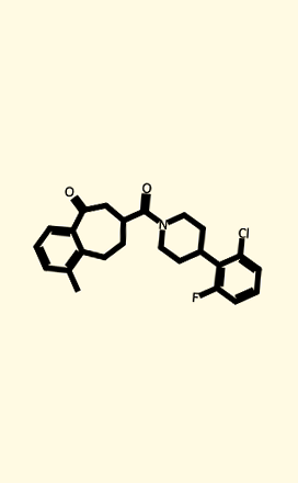 Cc1cccc2c1CCC(C(=O)N1CCC(c3c(F)cccc3Cl)CC1)CC2=O